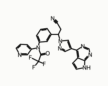 N#CCC(c1cccc(N(C(=O)C(F)(F)F)c2cccnc2)c1)n1cc(-c2ncnc3[nH]ccc23)cn1